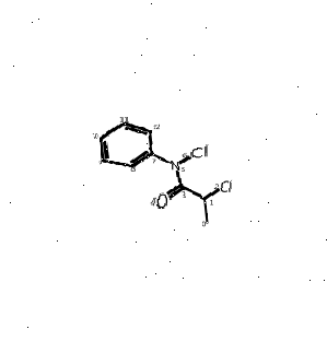 CC(Cl)C(=O)N(Cl)c1ccccc1